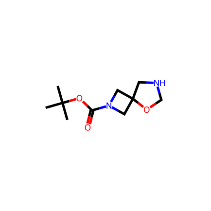 CC(C)(C)OC(=O)N1CC2(CNCO2)C1